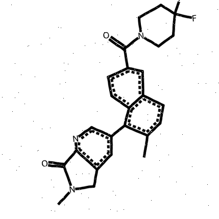 Cc1ccc2cc(C(=O)N3CCC(F)(F)CC3)ccc2c1-c1cnc2c(c1)CN(C)C2=O